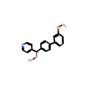 COc1cccc(-c2ccc([C@@H](OC)c3ccncc3)cc2)c1